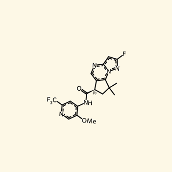 COc1cnc(C(F)(F)F)cc1NC(=O)[C@@H]1CC(C)(C)c2c1cnc1cc(F)nn21